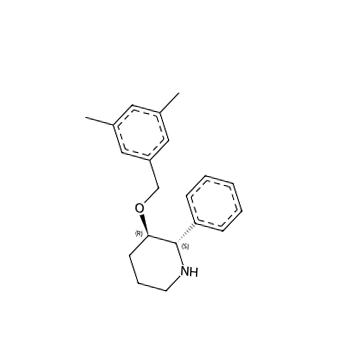 Cc1cc(C)cc(CO[C@@H]2CCCN[C@H]2c2ccccc2)c1